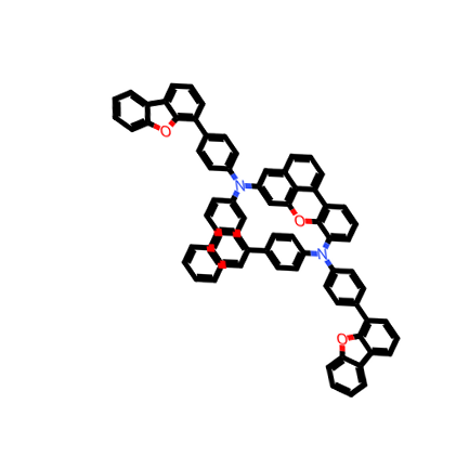 c1ccc(-c2ccc(N(c3ccc(-c4cccc5c4oc4ccccc45)cc3)c3cc4c5c(cccc5c3)-c3cccc(N(c5ccc(-c6ccccc6)cc5)c5ccc(-c6cccc7c6oc6ccccc67)cc5)c3O4)cc2)cc1